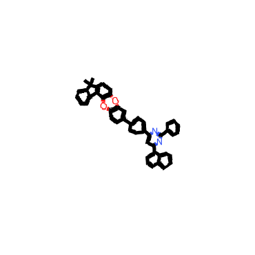 CC1(C)c2ccccc2-c2c1ccc1c2Oc2ccc(-c3ccc(-c4cc(-c5cccc6ccccc56)nc(-c5ccccc5)n4)cc3)cc2O1